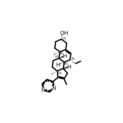 CC[C@H]1C=C2C[C@@H](O)CC[C@]2(C)[C@H]2CC[C@]3(C)C(c4ccncn4)=C(C)C[C@H]3[C@H]12